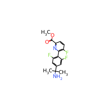 COC(=O)c1ccc(F)c(-c2c(F)cc(C(C)(C)N)cc2F)n1